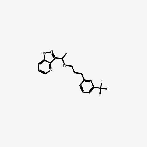 CC(NCCCc1cccc(C(F)(F)F)c1)c1n[nH]c2cccnc12